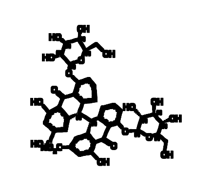 O=C(O)c1cc(O)c2c(c1)[C@@H]([C@H]1c3cc(C(=O)O)cc(O)c3C(=O)c3c(O[C@H]4O[C@H](CO)[C@@H](O)[C@H](O)[C@H]4O)cccc31)c1cccc(O[C@H]3O[C@H](CO)[C@@H](O)[C@H](O)[C@H]3O)c1C2=O